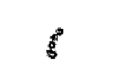 c1ccn2ncc([C@H]3CC[C@H](c4ccn(C5CCCCO5)n4)CC3)c2c1